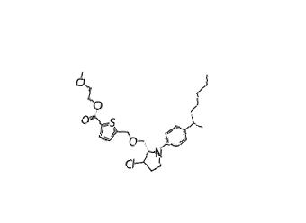 CCCCCC(C)c1ccc(N2CCC(Cl)[C@@H]2COCc2ccc(C(=O)OCCOC)s2)cc1